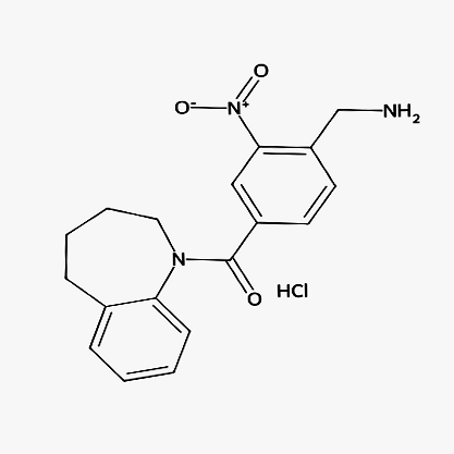 Cl.NCc1ccc(C(=O)N2CCCCc3ccccc32)cc1[N+](=O)[O-]